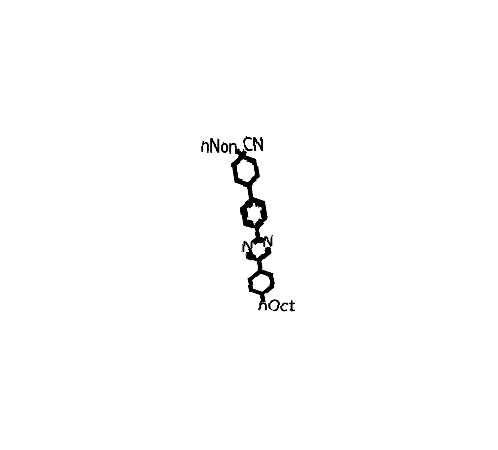 CCCCCCCCCC1(C#N)CCC(c2ccc(-c3ncc(C4CCC(CCCCCCCC)CC4)cn3)cc2)CC1